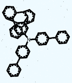 c1ccc(-c2ccc(N(c3ccc(-c4ccccc4)cc3)c3ccc4c(c3)-c3c5cccc3-c3cccc-4c3-c3ccccc3-5)cc2)cc1